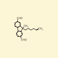 C=CCCCCC1(C)c2cc(C=O)ccc2-c2ccc(C=O)cc21